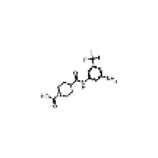 Nc1cc(NC(=O)C2CCN(C(=O)O)CC2)cc(C(F)(F)F)c1